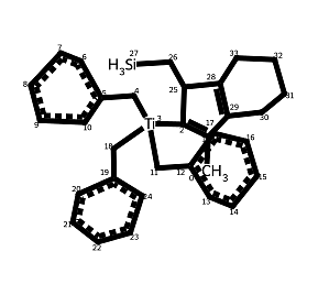 CC1=[C]([Ti]([CH2]c2ccccc2)([CH2]c2ccccc2)[CH2]c2ccccc2)C(C[SiH3])C2=C1CCCC2